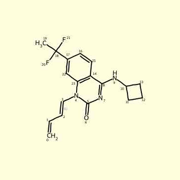 C=C/C=C/n1c(=O)nc(NC2CCC2)c2ccc(C(C)(F)F)cc21